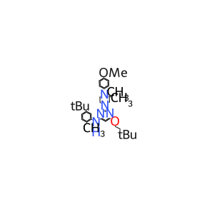 COc1ccc(N2CCN(c3nc(Nc4cc(C(C)(C)C)ccc4C)cc(OCCC(C)(C)C)n3)CC2(C)C)cc1